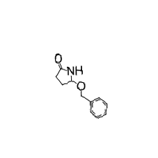 O=C1CCC(OCc2ccccc2)N1